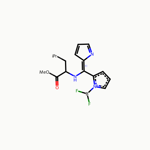 COC(=O)C(CC(C)C)N/C(=C1\C=CC=N1)c1cccn1B(F)F